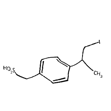 CC(CI)c1ccc(CS(=O)(=O)O)cc1